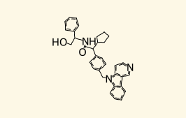 O=C(NC(CO)c1ccccc1)C(c1ccc(Cn2c3ccccc3c3cnccc32)cc1)C1CCCC1